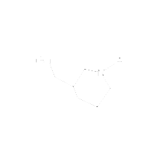 CC(=O)N1CCCC(CC(C)(C)C)C1